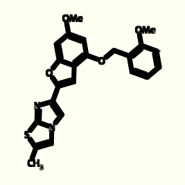 COc1cc(OCc2ccc[c]c2OC)c2cc(-c3cn4cc(C)sc4n3)oc2c1